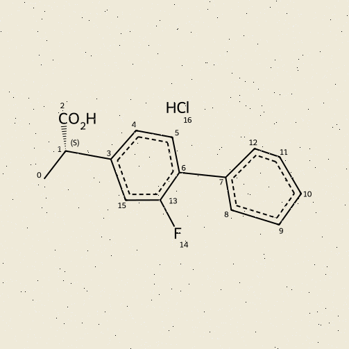 C[C@H](C(=O)O)c1ccc(-c2ccccc2)c(F)c1.Cl